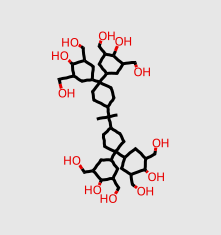 CC(C)(C1CCC(C2CC(CO)C(O)C(CO)C2)(C2CC(CO)C(O)C(CO)C2)CC1)C1CCC(C2CC(CO)C(O)C(CO)C2)(C2CC(CO)C(O)C(CO)C2)CC1